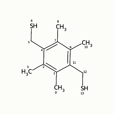 Cc1c(C)c(CS)c(C)c(C)c1CS